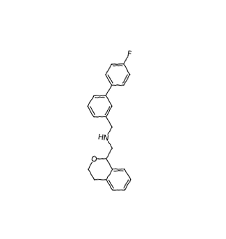 Fc1ccc(-c2cccc(CNCC3OCCc4ccccc43)c2)cc1